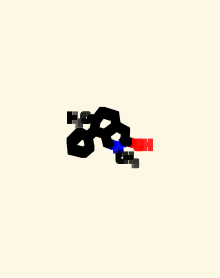 CC1C=CC2CC(O)N(C)CC2C1C1C=CC=CC1